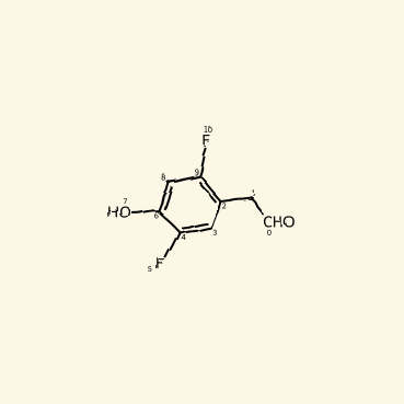 O=CCc1cc(F)c(O)cc1F